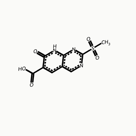 CS(=O)(=O)c1ncc2cc(C(=O)O)c(=O)[nH]c2n1